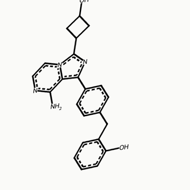 Nc1nccn2c(C3CC(O)C3)nc(-c3ccc(Cc4ccccc4O)cc3)c12